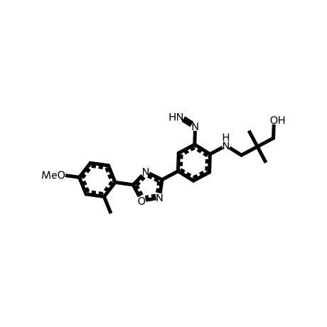 COc1ccc(-c2nc(-c3ccc(NCC(C)(C)CO)c(N=N)c3)no2)c(C)c1